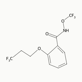 O=C(NOC(F)(F)F)c1ccccc1OCCC(F)(F)F